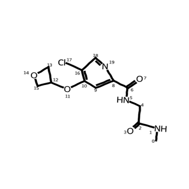 CNC(=O)CNC(=O)c1cc(OC2COC2)c(Cl)cn1